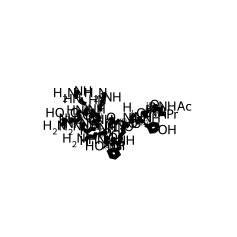 CC[C@H](C)[C@H](NC(=O)[C@H](CC(C)C)NC(C)=O)C(=O)N[C@@H](Cc1ccc(O)cc1)C(=O)N[C@@H](C)C(=O)N[C@@H](CCC(N)=O)C(=O)NCC(=O)N[C@@H](Cc1ccccc1)C(=O)N[C@@H](CO)C(=O)N[C@@H](CCCCN)C(=O)N[C@@H](CCCNC(=N)N)C(=O)N[C@@H](CCCNC(=N)N)C(=O)N[C@@H](CCCNC(=N)N)C(=O)N[C@@H](CCCNC(=N)N)C(=O)O